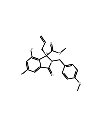 C=CC[C@]1(C(=O)OC)c2c(Br)cc(F)cc2C(=O)N1Cc1ccc(OC)cc1